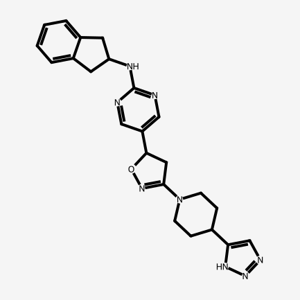 c1ccc2c(c1)CC(Nc1ncc(C3CC(N4CCC(c5cnn[nH]5)CC4)=NO3)cn1)C2